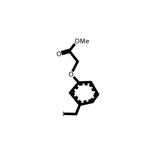 COC(=O)COc1cccc(CI)c1